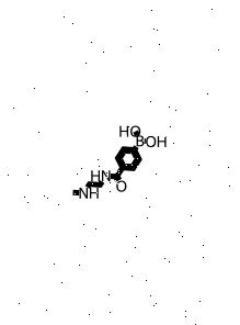 CNCCNC(=O)c1ccc(B(O)O)cc1